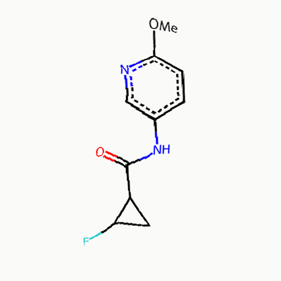 COc1ccc(NC(=O)C2CC2F)cn1